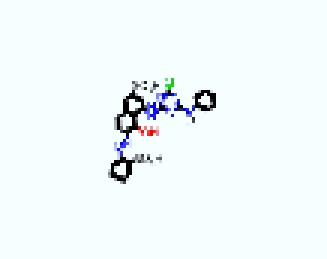 CCN(c1ccccc1)c1nc(Cl)nc(Nc2cc(S(=O)(=O)O)cc3ccc(/N=N/c4ccccc4S(=O)(=O)O)c(O)c23)n1